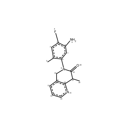 Cc1cc(F)c(N)cc1N1Cc2cccnc2C(C)C1=O